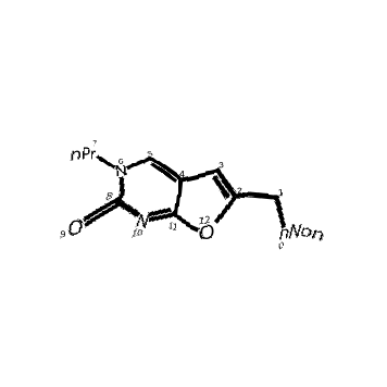 CCCCCCCCCCc1cc2cn(CCC)c(=O)nc2o1